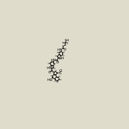 CC(C)(S)CCC(=O)Nc1ccc2[nH]c(C(=O)Nc3ccc4[nH]c(C(=O)N5C[C@@H](CCl)c6c5cc(O)c5ccccc65)cc4c3)cc2c1